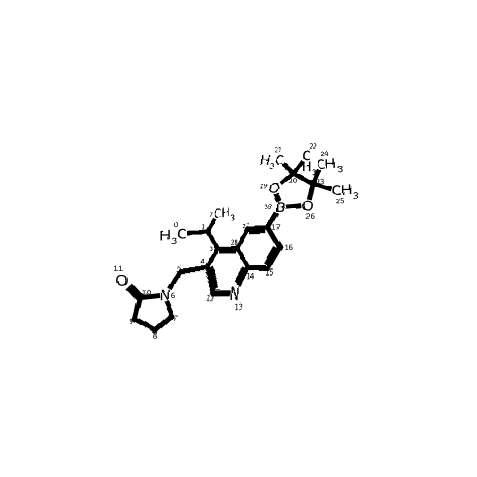 CC(C)c1c(CN2CCCC2=O)cnc2ccc(B3OC(C)(C)C(C)(C)O3)cc12